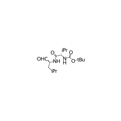 CC(C)C[C@@H]([C]=O)NC(=O)[C@@H](NC(=O)OC(C)(C)C)C(C)C